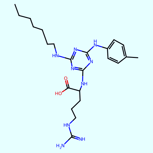 CCCCCCCNc1nc(Nc2ccc(C)cc2)nc(NC(CCCNC(=N)N)C(=O)O)n1